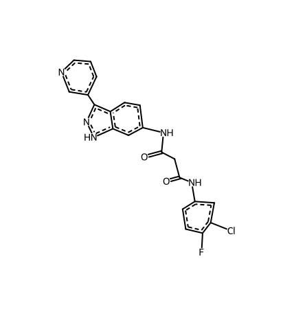 O=C(CC(=O)Nc1ccc2c(-c3cccnc3)n[nH]c2c1)Nc1ccc(F)c(Cl)c1